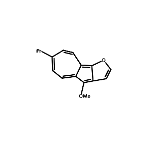 COc1c2ccc(C(C)C)ccc-2c2occc12